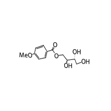 COc1ccc(C(=O)OC[C@H](O)[C@H](O)CO)cc1